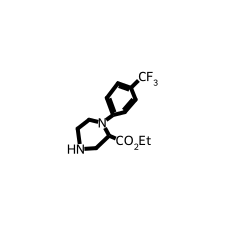 CCOC(=O)C1CNCCN1c1ccc(C(F)(F)F)cc1